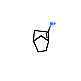 [NH]C1=C2CCC(C1)C2